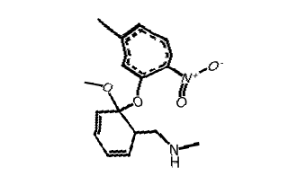 CNCC1C=CC=CC1(OC)Oc1cc(C)ccc1[N+](=O)[O-]